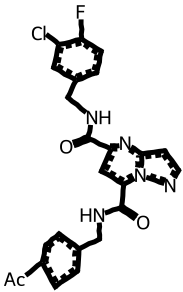 CC(=O)c1ccc(CNC(=O)c2cc(C(=O)NCc3ccc(F)c(Cl)c3)nc3ccnn23)cc1